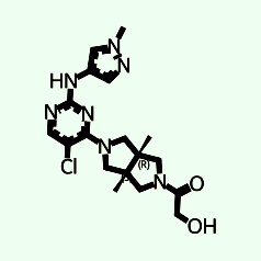 Cn1cc(Nc2ncc(Cl)c(N3C[C@]4(C)CN(C(=O)CO)C[C@]4(C)C3)n2)cn1